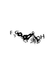 O=C(NCCCP(=O)(O)O)c1ccc2c(C(F)(F)F)c(OC3CCC(C(F)(F)F)CC3)ccc2c1